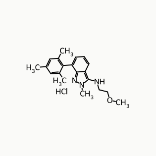 COCCNc1c2cccc(-c3c(C)cc(C)cc3C)c2nn1C.Cl